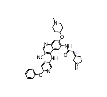 CN1CCC(Oc2cc3ncc(C#N)c(Nc4ccc(Oc5ccccc5)nc4)c3cc2NC(=O)/C=C2/CCNC2)CC1